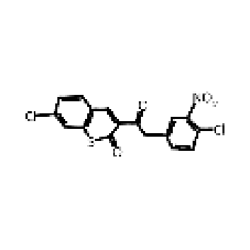 O=C(Cc1ccc(Cl)c([N+](=O)[O-])c1)c1cc2ccc(Cl)cc2sc1=O